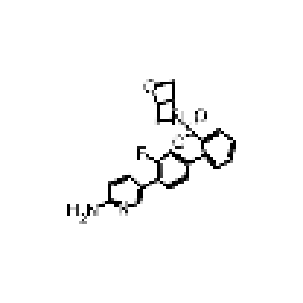 Nc1ccc(-c2ccc(-c3ccccc3S(=O)(=O)N3CC4OCC43)cc2F)cn1